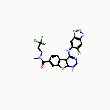 CN(CCC(F)(F)F)C(=O)c1ccc2c(c1)SC1NCN=C(Nc3cc4snnc4cc3Cl)C21